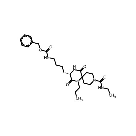 CCCN1C(=O)[C@H](CCCCNC(=O)OCc2ccccc2)NC(=O)C12CCN(C(=O)NCC)CC2